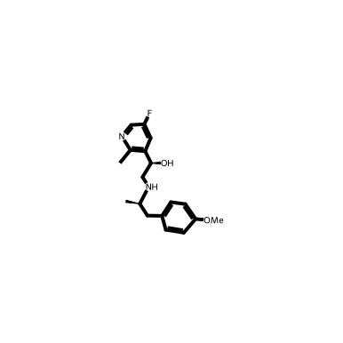 COc1ccc(C[C@@H](C)NC[C@H](O)c2cc(F)cnc2C)cc1